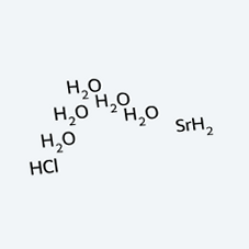 Cl.O.O.O.O.O.[SrH2]